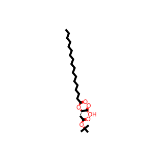 CCCCCCCCCCCCCCCCCC(=O)O[C@@H](CC(=O)OC(C)(C)C)C(=O)O